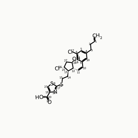 C=CCCc1cc(Cl)cc(/C=C\[C@@H]2[C@@H](CCSc3nc(C(=O)O)cs3)[C@H](Cl)C[C@H]2O)c1